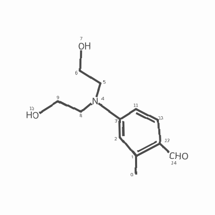 Cc1cc(N(CCO)CCO)ccc1C=O